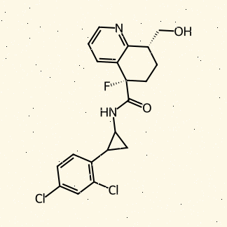 O=C(NC1CC1c1ccc(Cl)cc1Cl)[C@]1(F)CC[C@@H](CO)c2ncccc21